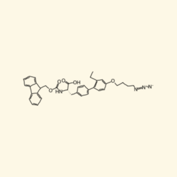 CCc1cc(OCCCCN=[N+]=[N-])ccc1-c1ccc(C[C@H](NC(=O)OCC2c3ccccc3-c3ccccc32)C(=O)O)cc1